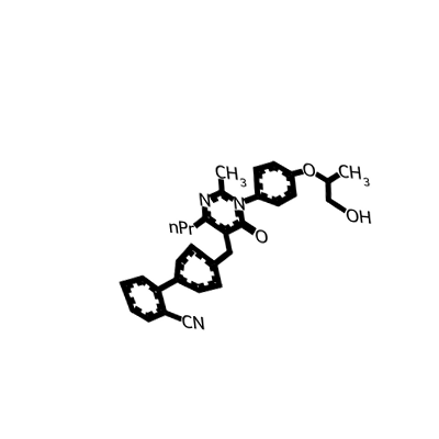 CCCc1nc(C)n(-c2ccc(OC(C)CO)cc2)c(=O)c1Cc1ccc(-c2ccccc2C#N)cc1